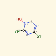 ON1CN=C(Cl)N=C1Cl